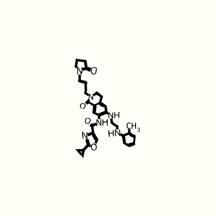 Cc1ccccc1NCCNc1cc2c(cc1NC(=O)c1coc(C3CC3)n1)C(=O)N(CCCN1CCCC1=O)CC2